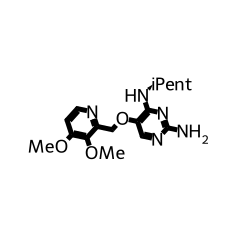 CCC[C@H](C)Nc1nc(N)ncc1OCc1nccc(OC)c1OC